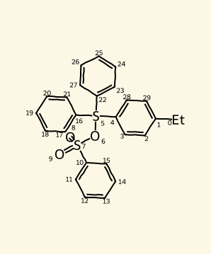 CCc1ccc(S(OS(=O)(=O)c2ccccc2)(c2ccccc2)c2ccccc2)cc1